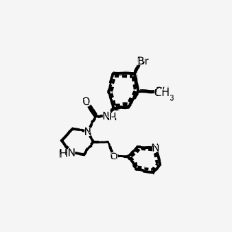 Cc1cc(NC(=O)N2CCNCC2COc2cccnc2)ccc1Br